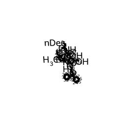 CCCCCCCCCCCC(=O)NCC(=O)O[C@H]1[C@H](O)[C@@H](CO)O[C@H](OCCOP(c2ccccc2)c2ccccc2)[C@H]1NC(=O)CN(C)C(=O)CCCCCCCCCCC